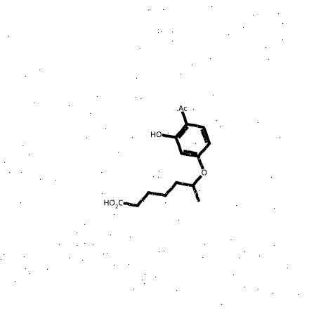 CC(=O)c1ccc(OC(C)CCCCC(=O)O)cc1O